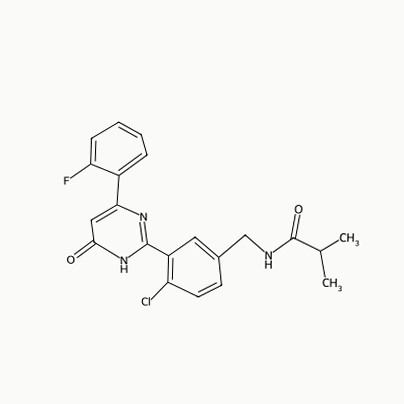 CC(C)C(=O)NCc1ccc(Cl)c(-c2nc(-c3ccccc3F)cc(=O)[nH]2)c1